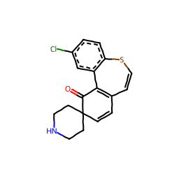 O=C1C2=C(C=CSc3ccc(Cl)cc32)C=CC12CCNCC2